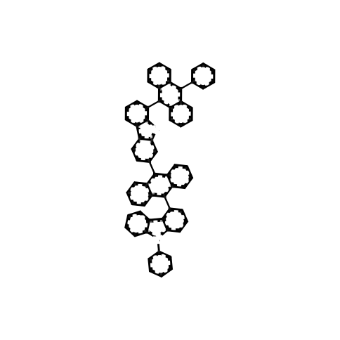 c1ccc(-c2c3ccccc3c(-c3cccc4c3sc3cc(-c5c6ccccc6c(-c6cccc7c6c6ccccc6n7-c6ccccc6)c6ccccc56)ccc34)c3ccccc23)cc1